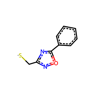 [S]Cc1noc(-c2ccccc2)n1